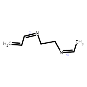 C=C/C=N\CC/N=C\C